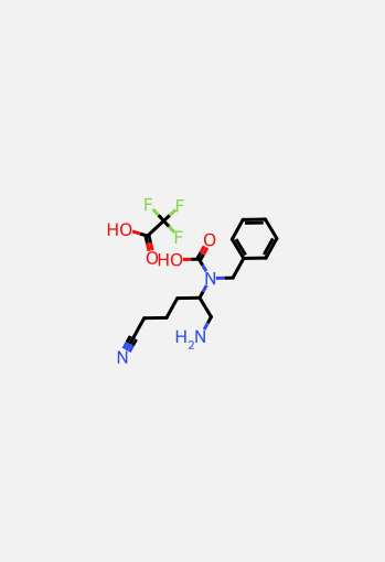 N#CCCCC(CN)N(Cc1ccccc1)C(=O)O.O=C(O)C(F)(F)F